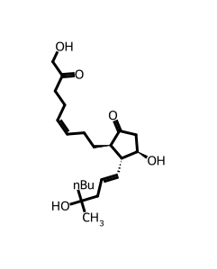 CCCCC(C)(O)C/C=C/[C@H]1[C@H](O)CC(=O)[C@@H]1CC/C=C\CCC(=O)CO